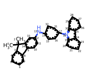 CC1(C)c2ccccc2-c2ccc(Nc3ccc(-n4c5ccccc5c5ccccc54)cc3)cc21